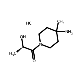 C[C@@H](O)C(=O)N1CCC(C)(N)CC1.Cl